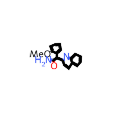 COc1ccccc1C(C(N)=O)c1ccc2ccccc2n1